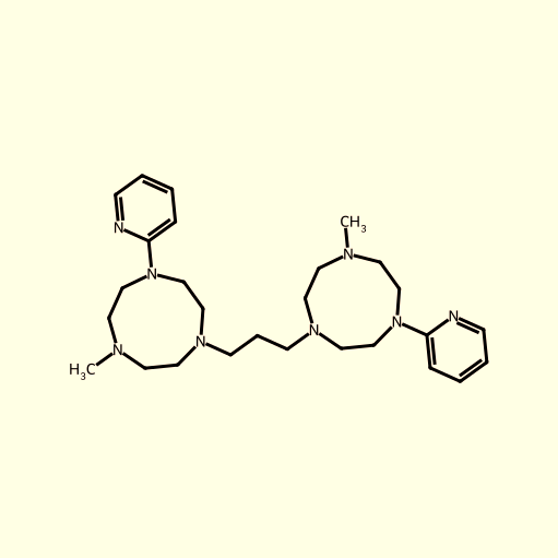 CN1CCN(CCCN2CCN(C)CCN(c3ccccn3)CC2)CCN(c2ccccn2)CC1